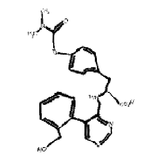 CN(C)C(=O)Oc1ccc(C[C@H](Nc2ncncc2-c2ccccc2CO)C(=O)O)cc1